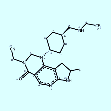 CC1Cc2c(ncc3c2N([C@H]2CC[C@H](CNCC(F)(F)F)CC2)CN(CC#N)C3=O)N1